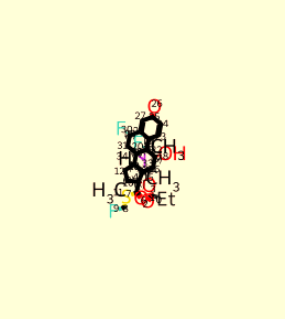 CCC(=O)O[C@]1(C(=O)SCF)[C@H](C)C[C@@H]2[C@]1(C)C[C@H](O)[C@]1(F)[C@@]3(C)C=CC(=O)C=C3[C@@H](F)C[C@@]21I